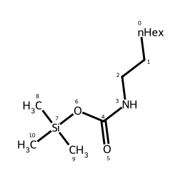 CCCCCCCCNC(=O)O[Si](C)(C)C